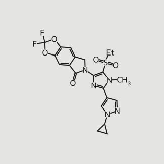 CCS(=O)(=O)c1c(N2Cc3cc4c(cc3C2=O)OC(F)(F)O4)nc(-c2cnn(C3CC3)c2)n1C